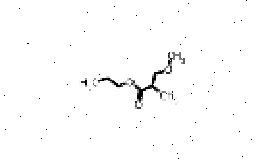 CCCOC(=O)C(C)COC